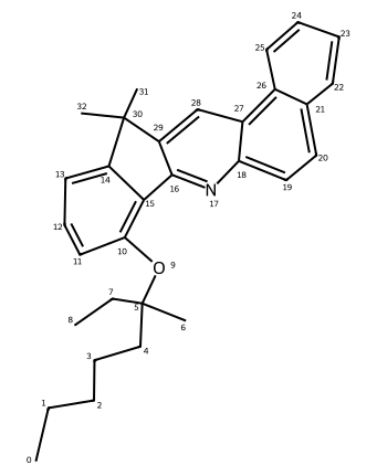 CCCCCC(C)(CC)Oc1cccc2c1-c1nc3ccc4ccccc4c3cc1C2(C)C